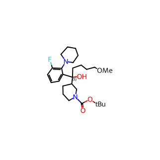 COCCCC[C@@](O)(c1cccc(F)c1N1CCCCC1)C1CCCN(C(=O)OC(C)(C)C)C1